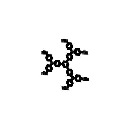 CCCCc1ccc(N(c2ccc(CCCC)cc2)c2ccc(-c3cc(-c4ccc(N(c5ccc(CCCC)cc5)c5ccc(CCCC)cc5)cc4)cc(-c4ccc(N(c5ccc(CCCC)cc5)c5ccc(CCCC)cc5)cc4)c3)cc2)cc1